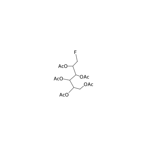 CC(=O)OCC(OC(C)=O)C(OC(C)=O)C(OC(C)=O)C(CF)OC(C)=O